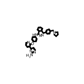 Nc1nccc(-c2cccnc2Oc2ccc(Nc3nnc(-c4ccc(CN5CCCC5)cc4)c4ccccc34)cc2)n1